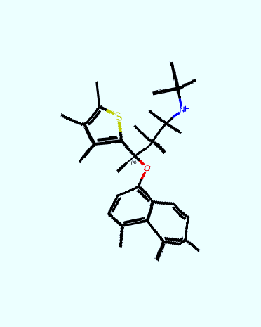 Cc1ccc2c(O[C@](C)(c3sc(C)c(C)c3C)C(C)(C)C(C)(C)NC(C)(C)C)ccc(C)c2c1C